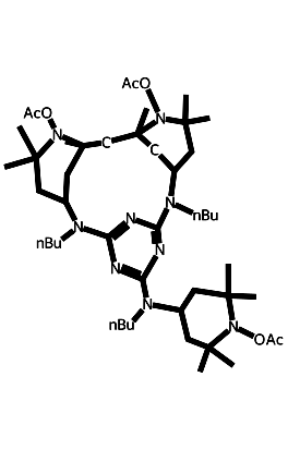 CCCCN(c1nc2nc(n1)N(CCCC)C1CC(C)(C)N(OC(C)=O)C(C)(C1)CC1(C)CC(CC(C)(C)N1OC(C)=O)N2CCCC)C1CC(C)(C)N(OC(C)=O)C(C)(C)C1